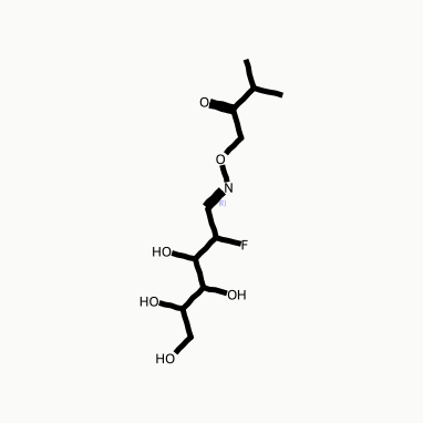 CC(C)C(=O)CO/N=C/C(F)C(O)C(O)C(O)CO